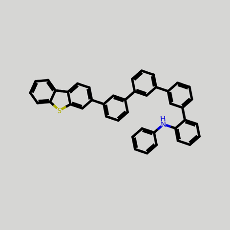 c1ccc(Nc2ccccc2-c2cccc(-c3cccc(-c4cccc(-c5ccc6c(c5)sc5ccccc56)c4)c3)c2)cc1